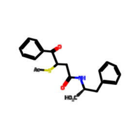 CC(=O)SC(CC(=O)N[C@@H](Cc1ccccc1)C(=O)O)C(=O)c1ccccc1